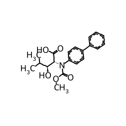 COC(=O)N(c1ccc(-c2ccccc2)cc1)[C@@H](C(=O)O)[C@@H](O)C(C)C